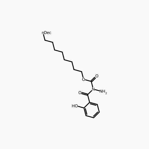 CCCCCCCCCCCCCCCCCCOC(=O)N(N)C(=O)c1ccccc1O